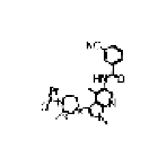 Cc1c(NC(=O)c2cccc(C#N)c2)cnc2c1c([C@@H]1CCN(C(=O)C(C)C)[C@@H](C)C1)cn2C